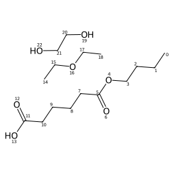 CCCCOC(=O)CCCCC(=O)O.CCOCC.OCCO